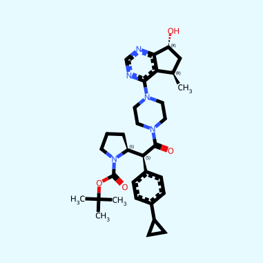 C[C@@H]1C[C@@H](O)c2ncnc(N3CCN(C(=O)[C@@H](c4ccc(C5CC5)cc4)[C@@H]4CCCN4C(=O)OC(C)(C)C)CC3)c21